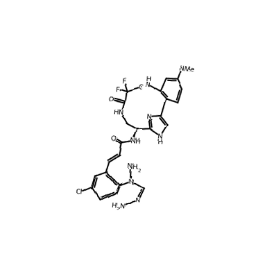 CNc1ccc2c(c1)NCC(F)(F)C(=O)NC[C@H](NC(=O)/C=C/c1cc(Cl)ccc1N(N)/C=N\N)c1nc-2c[nH]1